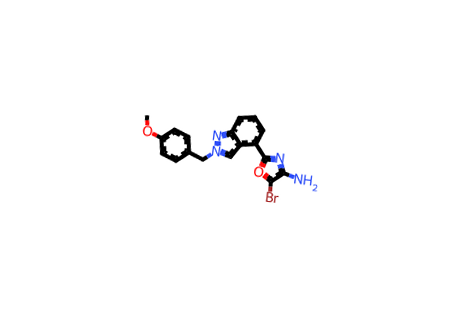 COc1ccc(Cn2cc3c(-c4nc(N)c(Br)o4)cccc3n2)cc1